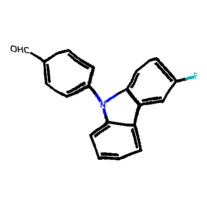 O=Cc1ccc(-n2c3ccccc3c3cc(F)ccc32)cc1